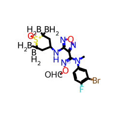 BC1(B)CC(Nc2nonc2/C(=N/OC=O)N(C)c2ccc(F)c(Br)c2)CC(B)(B)[S+]1[O-]